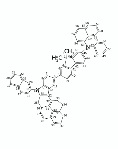 CC1(C)c2cc(-c3ccc4c(c3)c3c(n4-c4ccc5ccccc5c4)CC4C=CC5=C6C4=C3CCC6CC=C5)ccc2-c2ccc(N(c3ccccc3)c3cccc4ccccc34)cc21